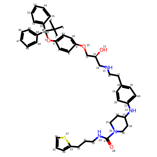 CC(C)(C)[Si](Oc1ccc(OC[C@@H](O)CNCCc2ccc(NC3CCN(C(=O)NCCCc4cccs4)CC3)cc2)cc1)(c1ccccc1)c1ccccc1